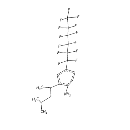 CC(C)CC(C)c1cc(C(F)(F)C(F)(F)C(F)(F)C(F)(F)C(F)(F)C(F)(F)F)ccc1N